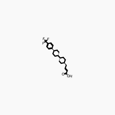 O=C(O)/C=C/C[C@H]1CC[C@H]([C@H]2CC[C@H](c3ccc(C(F)(F)F)cc3)CC2)CC1